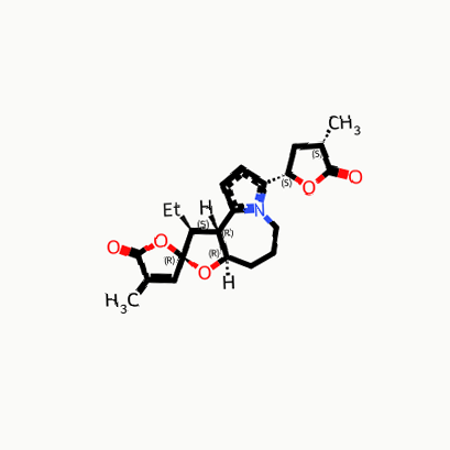 CC[C@H]1[C@@H]2c3ccc([C@@H]4C[C@H](C)C(=O)O4)n3CCC[C@H]2O[C@]12C=C(C)C(=O)O2